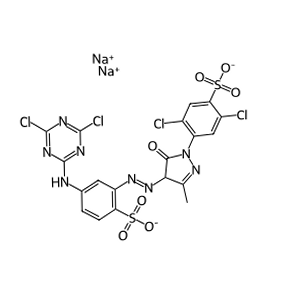 CC1=NN(c2cc(Cl)c(S(=O)(=O)[O-])cc2Cl)C(=O)C1N=Nc1cc(Nc2nc(Cl)nc(Cl)n2)ccc1S(=O)(=O)[O-].[Na+].[Na+]